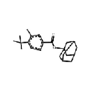 Cc1cc(C(=O)OC23CC4CC(CC(C4)C2)C3)ccc1C(C)(C)C